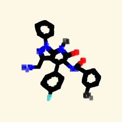 CCn1c(=O)c(NC(=O)c2cccc(C(F)(F)F)c2)c(-c2ccc(F)cc2)c2c(CN)nn(-c3ccccc3)c21